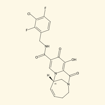 O=C(NCc1ccc(F)c(Cl)c1F)c1cn2c(c(O)c1=O)C(=O)N1CCC=C[C@H]2C1